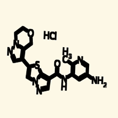 Cc1ncc(N)cc1NC(=O)c1cnn2cc(-c3cnn4c3COCC4)sc12.Cl